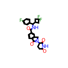 O=C1CCC(N2Cc3cc(C(=O)NC(c4ccc(F)cc4)C4CC(F)(F)C4)ccc3C2=O)C(=O)N1